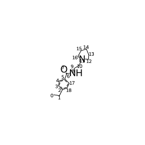 CCc1ccc(C(=O)NCCN2CCCCC2)cc1